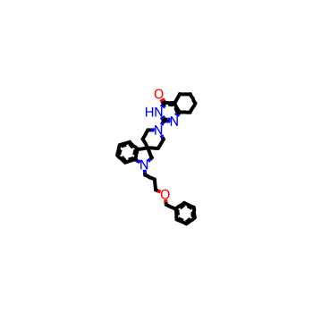 O=c1[nH]c(N2CCC3(CC2)CN(CCCOCc2ccccc2)c2ccccc23)nc2c1CCCC2